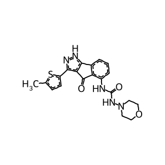 Cc1ccc(-c2n[nH]c3c2C(=O)c2c(NC(=O)NN4CCOCC4)cccc2-3)s1